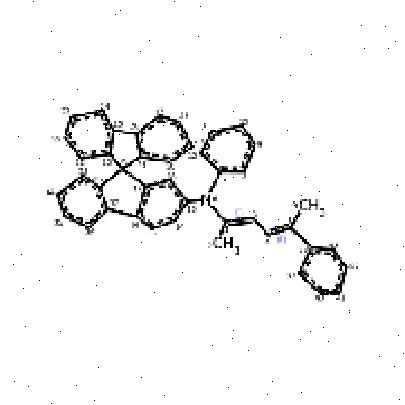 C/C(=C\C=C(/C)N(c1ccccc1)c1ccc2c(c1)C1(c3ccccc3-c3ccccc31)c1ccccc1-2)c1ccccc1